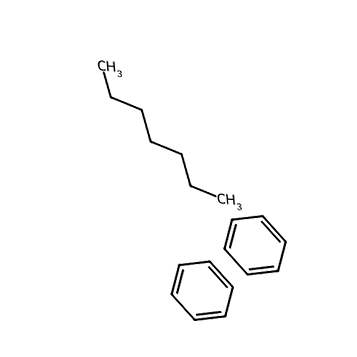 CCCCCCC.c1ccccc1.c1ccccc1